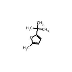 Cc1ccc(C(C)(C)C)o1